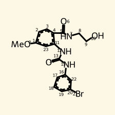 COc1ccc(C(=O)NCCO)c(NC(=O)Nc2cccc(Br)c2)c1